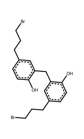 Oc1ccc(CCCBr)cc1Cc1cc(CCCBr)ccc1O